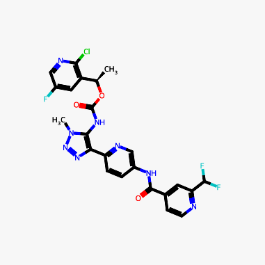 C[C@@H](OC(=O)Nc1c(-c2ccc(NC(=O)c3ccnc(C(F)F)c3)cn2)nnn1C)c1cc(F)cnc1Cl